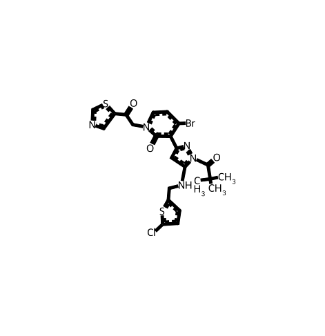 CC(C)(C)C(=O)n1nc(-c2c(Br)ccn(CC(=O)c3cncs3)c2=O)cc1NCc1ccc(Cl)s1